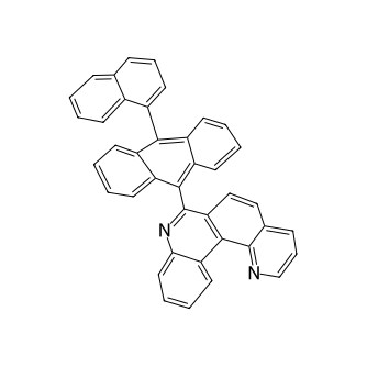 c1ccc2c(-c3c4ccccc4c(-c4nc5ccccc5c5c4ccc4cccnc45)c4ccccc34)cccc2c1